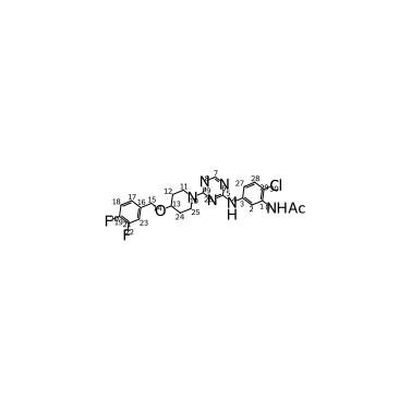 CC(=O)Nc1cc(Nc2ncnc(N3CCC(OCc4ccc(F)c(F)c4)CC3)n2)ccc1Cl